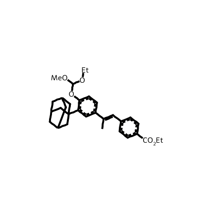 CCOC(=O)c1ccc(C=C(C)c2ccc(OC(OC)OCC)c(C34CC5CC(CC(C5)C3)C4)c2)cc1